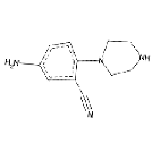 N#Cc1cc(N)ccc1N1CCNCC1